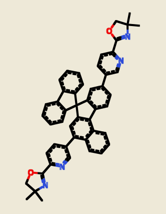 CC1(C)COC(c2ccc(-c3ccc4c(c3)C3(c5ccccc5-c5ccccc53)c3cc(-c5ccc(C6=NC(C)(C)CO6)nc5)c5ccccc5c3-4)cn2)=N1